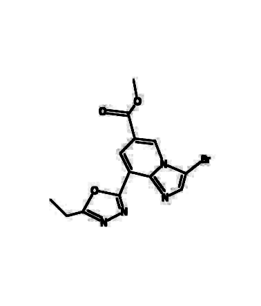 CCc1nnc(-c2cc(C(=O)OC)cn3c(Br)cnc23)o1